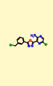 Nc1ncc(Br)nc1-c1nnc(-c2cccc(CBr)c2)o1